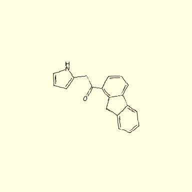 O=C(Cc1ccc[nH]1)c1cccc2c1Cc1ccccc1-2